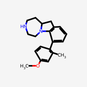 COc1ccc(-c2cccc3c2N2CCNCCC2C3)c(C)c1